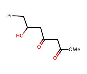 COC(=O)CC(=O)CC(O)CC(C)C